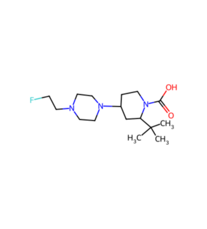 CC(C)(C)C1CC(N2CCN(CCF)CC2)CCN1C(=O)O